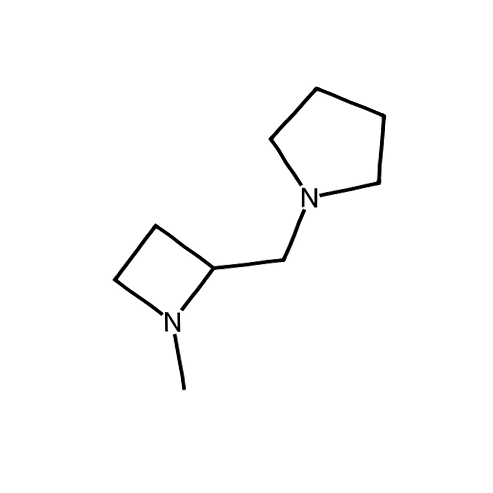 CN1CCC1CN1CCCC1